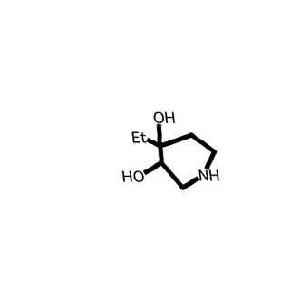 CCC1(O)CCNCC1O